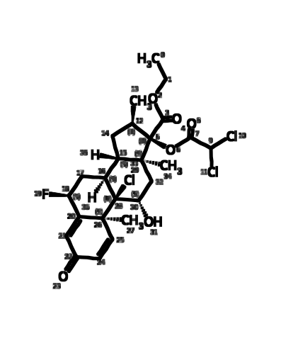 CCOC(=O)[C@@]1(OC(=O)C(Cl)Cl)[C@H](C)C[C@H]2[C@@H]3C[C@H](F)C4=CC(=O)C=C[C@]4(C)[C@@]3(Cl)[C@@H](O)C[C@@]21C